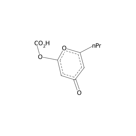 CCCc1cc(=O)cc(OC(=O)O)o1